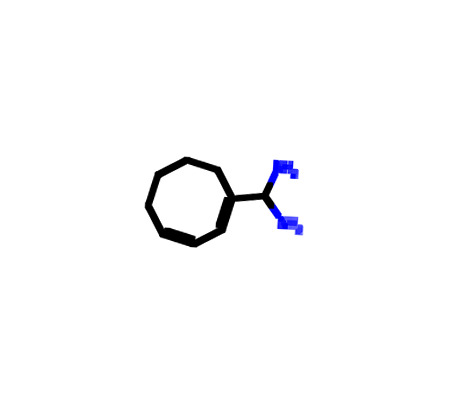 NC(N)C1=CC=CCCCC1